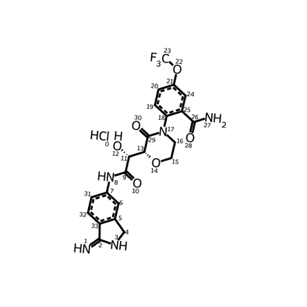 Cl.N=C1NCc2cc(NC(=O)[C@H](O)[C@H]3OCCN(c4ccc(OC(F)(F)F)cc4C(N)=O)C3=O)ccc21